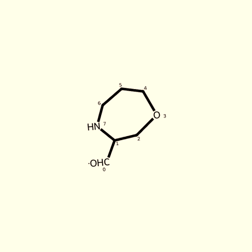 O=[C]C1COCCCN1